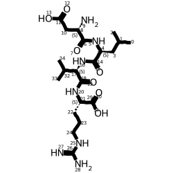 CC(C)C[C@H](NC(=O)[C@@H](N)CC(=O)O)C(=O)N[C@H](C(=O)N[C@@H](CCCNC(=N)N)C(=O)O)C(C)C